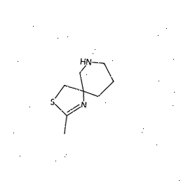 CC1=NC2(CCCNC2)CS1